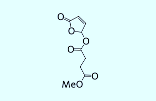 COC(=O)CCC(=O)OC1C=CC(=O)O1